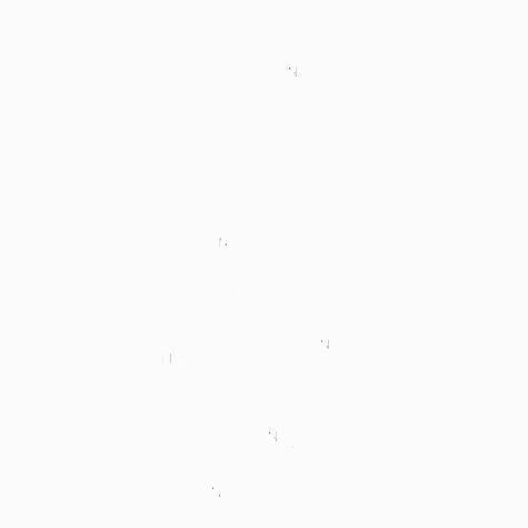 C=C(c1ccncc1/C=C/Nc1ccc(CN2CCOCC2)cc1)c1cccnc1N